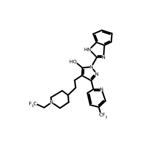 Oc1c(CCC2CCN(CC(F)(F)F)CC2)c(-c2ccc(C(F)(F)F)cn2)nn1-c1nc2ccccc2[nH]1